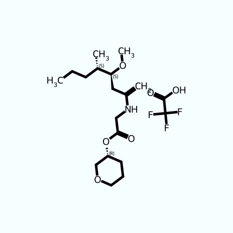 C=C(C[C@H](OC)[C@@H](C)CCC)NCC(=O)O[C@@H]1CCCOC1.O=C(O)C(F)(F)F